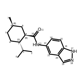 CC(C)[C@@H]1CC[C@@H](C)C[C@H]1C(=O)Nc1ccc2[nH]ncc2c1